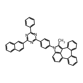 Cc1c2c3c(cccc3n1-c1ccc(-c3nc(-c4ccccc4)nc(-c4ccc5ccccc5c4)n3)cc1)-c1ccccc1-c1ccccc1-2